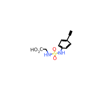 C#Cc1ccc(NS(=O)(=O)NCC(=O)O)cc1